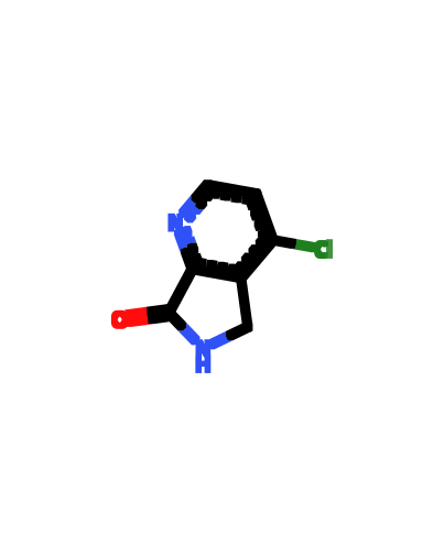 O=C1NCc2c(Cl)ccnc21